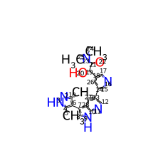 Cc1n[nH]c(C)c1-c1c[nH]c2ncc(-c3cncc(C(O)C(=O)N(C)C)c3)cc12